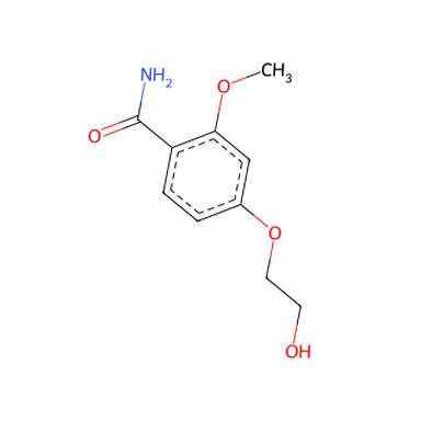 COc1cc(OCCO)ccc1C(N)=O